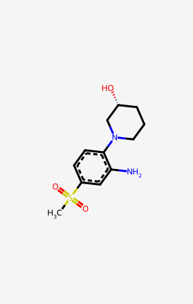 CS(=O)(=O)c1ccc(N2CCC[C@@H](O)C2)c(N)c1